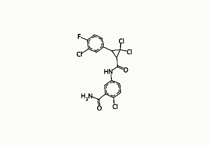 NC(=O)c1cc(NC(=O)C2C(c3ccc(F)c(Cl)c3)C2(Cl)Cl)ccc1Cl